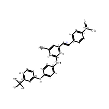 Nc1cc(/C=C/c2ccc([N+](=O)[O-])cc2)nc(Nc2ccc(Oc3ccnc(C(F)(F)F)c3)cc2)n1